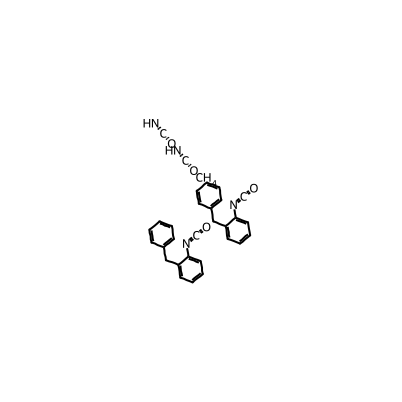 C.N=C=O.N=C=O.O=C=Nc1ccccc1Cc1ccccc1.O=C=Nc1ccccc1Cc1ccccc1